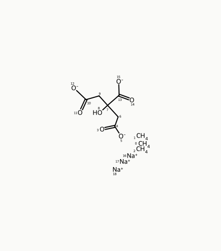 C.C.C.O=C([O-])CC(O)(CC(=O)[O-])C(=O)[O-].[Na+].[Na+].[Na+]